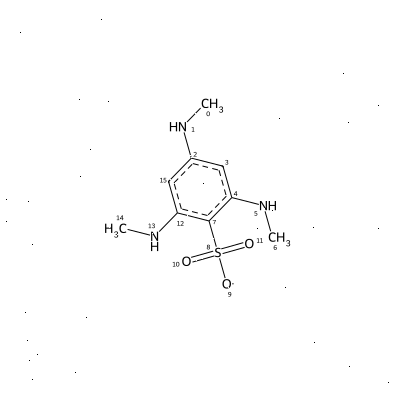 CNc1cc(NC)c(S([O])(=O)=O)c(NC)c1